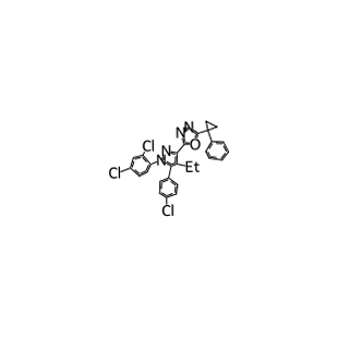 CCc1c(-c2nnc(C3(c4ccccc4)CC3)o2)nn(-c2ccc(Cl)cc2Cl)c1-c1ccc(Cl)cc1